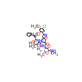 CCC[C@H](NC(=O)[C@@H]1C[C@]2(CC(c3cc(Cl)c(OC)cc3OC)=NO2)CN1C(=O)[C@@H](NC(=O)[C@@H]1CC1c1ccccc1)C(C)(C)C)C(=O)C(=O)NC